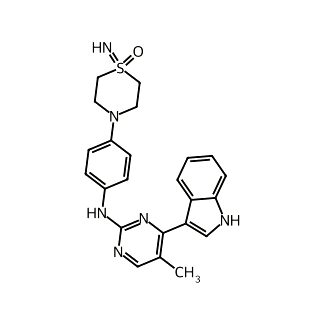 Cc1cnc(Nc2ccc(N3CCS(=N)(=O)CC3)cc2)nc1-c1c[nH]c2ccccc12